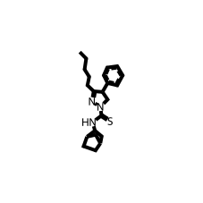 CCCCCC1=NN(C(=S)NC2CC3CCC2C3)CC1c1ccccc1